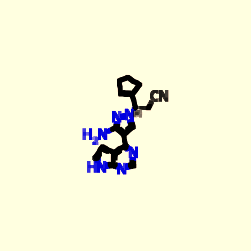 N#CC[C@H](C1=CCCC1)n1cc(-c2ncnc3[nH]ccc23)c(N)n1